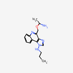 [CH2]CCNn1cnc2c(COC(C)N)nc3ccccc3c21